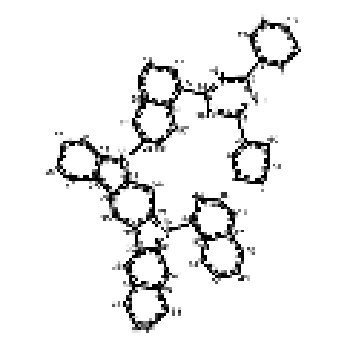 c1ccc(-c2nc(-c3ccccc3)nc(-c3cccc4cc(-n5c6ccccc6c6cc7c8cc9ccccc9cc8n(-c8cccc9ccccc89)c7cc65)ccc34)n2)cc1